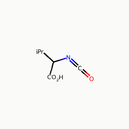 CC(C)C(N=C=O)C(=O)O